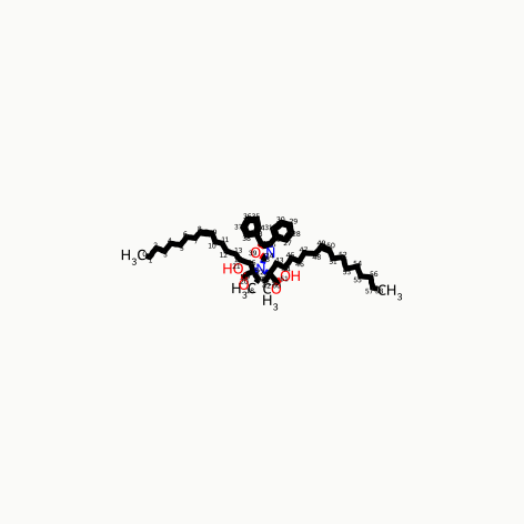 CCCCCCCC/C=C\CCCCCCC(CC)(C(=O)O)N(c1nc(-c2ccccc2)c(-c2ccccc2)o1)C(CC)(CCCCCC/C=C\CCCCCCCC)C(=O)O